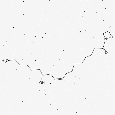 CCCCCC[C@@H](O)C/C=C\CCCCCCCC(=O)N1CCO1